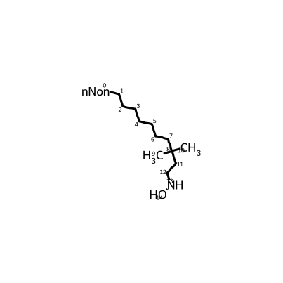 CCCCCCCCCCCCCCCCC(C)(C)CCNO